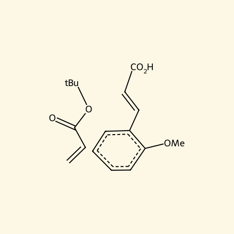 C=CC(=O)OC(C)(C)C.COc1ccccc1C=CC(=O)O